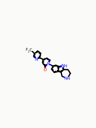 O=c1cc(-c2ccc(C(F)(F)F)cn2)ccn1-c1ccc2c3c([nH]c2c1)CCCNC3